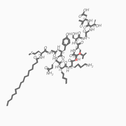 CCCCCCCCCCCCCCCC(=O)N[C@@H](CCSC)C(=O)NCC(=O)N[C@@H](Cc1ccc(O)cc1)C(=O)N[C@@H](CCC(N)=O)C(=O)N[C@@H](CCCCC)C(=O)N[C@@H](CCCCN)C(=O)N[C@@H](CC(C)C)C(=O)N[C@@H](CCCC)C(=O)N[C@@H](CO)C(=O)N[C@@H](C)C(=O)N[C@H](C(=O)N[C@@H](CC(=O)O)C(C)=O)[C@@H](C)O